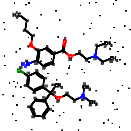 CCCCOc1cc(C(=O)OCCN(CC)CC)ccc1N.CN(C)CCOC(C)(c1ccccc1)c1ccc(Cl)cc1